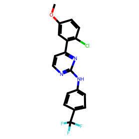 COc1ccc(Cl)c(-c2ccnc(Nc3ccc(C(F)(F)F)cc3)n2)c1